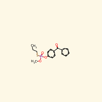 CCCSP(=O)(OC)Oc1ccc(C(=O)c2ccccc2)cc1